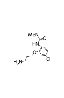 CNC(=O)Nc1ccc(Cl)cc1OCCCN